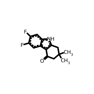 CC1(C)CC(=O)c2c([nH]c3cc(F)c(F)cc23)C1